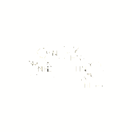 CCCCCCOC(=O)N[C@@H](CNC(=O)C1CCN(c2cccc(C3=NCCCN3)c2N)CC1)C(=O)O